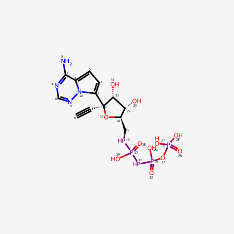 C#C[C@@]1(c2ccc3c(N)ncnn23)O[C@H](CPP(=O)(O)PP(=O)(O)OP(=O)(O)O)[C@@H](O)[C@H]1O